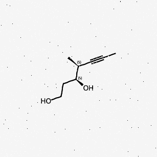 CC#C[C@H](C)[C@@H](O)CCO